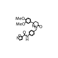 COc1ccc(C2=NN(Cc3ccc(NC(=O)c4ccno4)cc3)C(=O)CC2)cc1OC